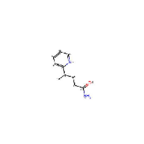 CC(CCC(N)=O)c1ccccn1